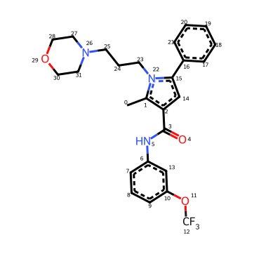 Cc1c(C(=O)Nc2cccc(OC(F)(F)F)c2)cc(-c2ccccc2)n1CCCN1CCOCC1